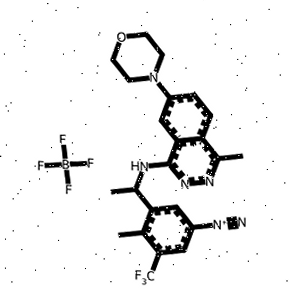 Cc1c(C(C)Nc2nnc(C)c3ccc(N4CCOCC4)cc23)cc([N+]#N)cc1C(F)(F)F.F[B-](F)(F)F